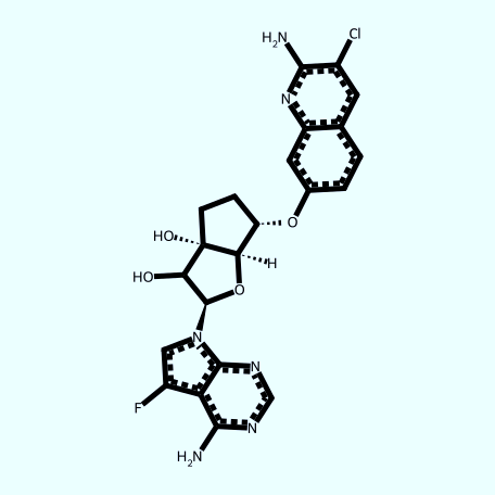 Nc1nc2cc(O[C@H]3CC[C@]4(O)C(O)[C@H](n5cc(F)c6c(N)ncnc65)O[C@H]34)ccc2cc1Cl